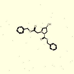 O=C(CN1C[C@@H](O)C[C@H]1C(=O)OCc1ccccc1)OCc1ccccc1